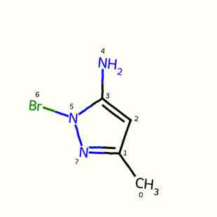 Cc1cc(N)n(Br)n1